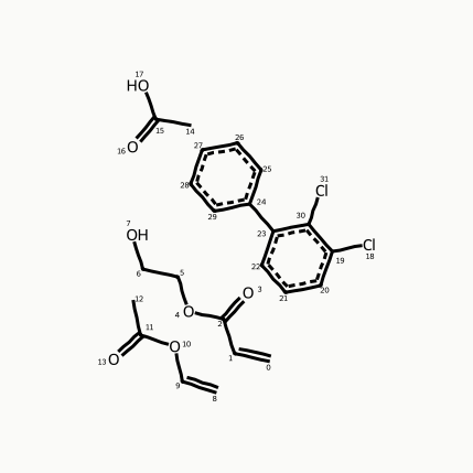 C=CC(=O)OCCO.C=COC(C)=O.CC(=O)O.Clc1cccc(-c2ccccc2)c1Cl